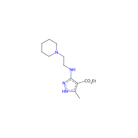 CCOC(=O)c1c(NCCN2CCCCC2)n[nH]c1C